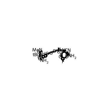 CN[C@H](C)C(=O)N[C@@H](C(=O)N1Cc2cc(OCCOCCOCCC(=O)N(C)CCn3nc(C#N)c4c3CN(C)C(=O)c3ccc(F)cc3[C@@H](C)Oc3nc-4cnc3N)ccc2C[C@@H]1C(N)=O)C(C)(C)C